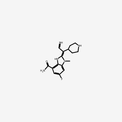 CN1/C(=C(/C=N)C2CCNCC2)Nc2c(C(N)=O)cc(F)cc21